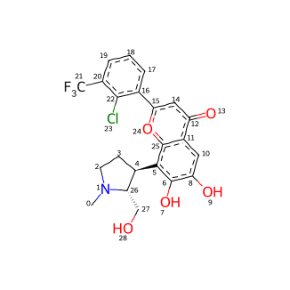 CN1CC[C@@H](c2c(O)c(O)cc3c(=O)cc(-c4cccc(C(F)(F)F)c4Cl)oc23)[C@@H]1CO